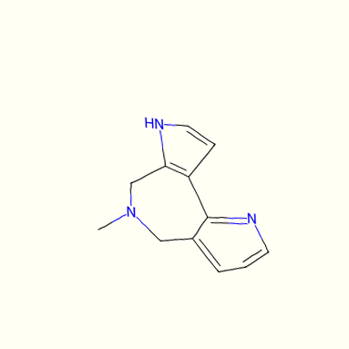 CN1Cc2cccnc2-c2cc[nH]c2C1